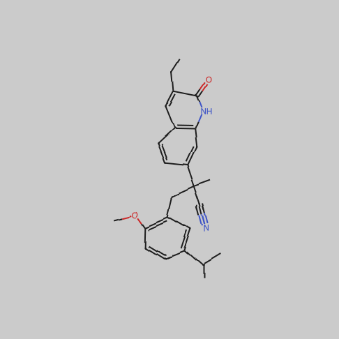 CCc1cc2ccc(C(C)(C#N)Cc3cc(C(C)C)ccc3OC)cc2[nH]c1=O